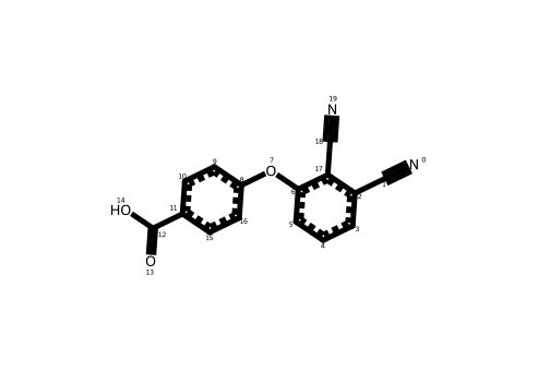 N#Cc1cccc(Oc2ccc(C(=O)O)cc2)c1C#N